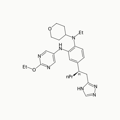 CCC[C@H](Cc1nnc[nH]1)c1ccc(N(CC)C2CCOCC2)c(Nc2cnc(OCC)nc2)c1